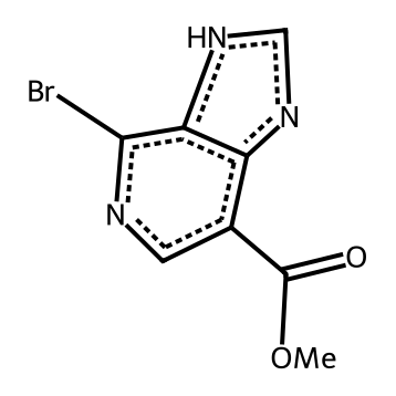 COC(=O)c1cnc(Br)c2[nH]cnc12